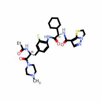 CCC(=O)N[C@H](Cc1ccc(NC(=O)[C@@H](NC(=O)c2cnn3c2SCC3)C2CCCCC2)c(F)c1)C(=O)N1CCN(C)CC1